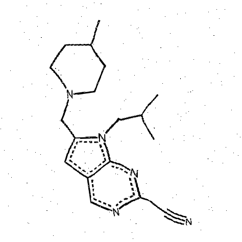 CC(C)Cn1c(CN2CCC(C)CC2)cc2cnc(C#N)nc21